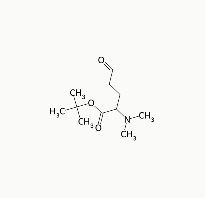 CN(C)C(CCC=O)C(=O)OC(C)(C)C